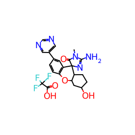 CN1C(=O)C2(N=C1N)c1cc(-c3cncnc3)ccc1OC1CC(O)CCC12.O=C(O)C(F)(F)F